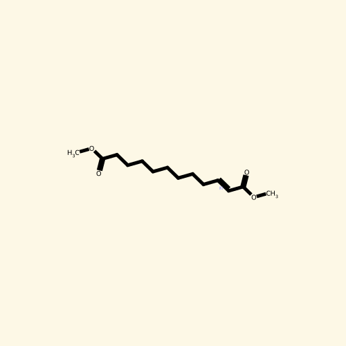 COC(=O)/C=C/CCCCCCCCC(=O)OC